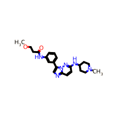 COCCC(=O)Nc1cccc(-c2cnc3ccc(NC4CCN(C)CC4)nn23)c1